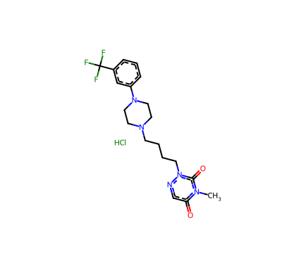 Cl.Cn1c(=O)cnn(CCCCN2CCN(c3cccc(C(F)(F)F)c3)CC2)c1=O